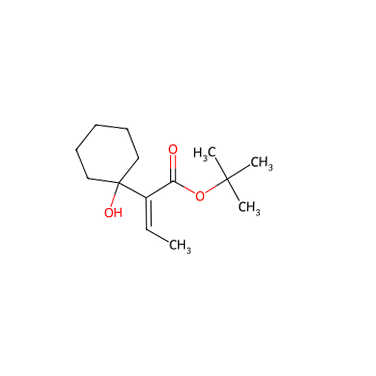 CC=C(C(=O)OC(C)(C)C)C1(O)CCCCC1